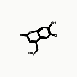 CCOC(=O)Cc1cc(=O)oc2cc(O)c(Cl)cc12